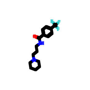 O=C(NCCCN1CCCCC1)c1ccc(C(F)(F)F)cc1